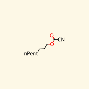 CCCCCCCCOC(=O)C#N